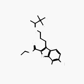 CCOC(=O)c1[nH]c2c(Br)c(Cl)ccc2c1CCCOC(C)C(C)(C)C